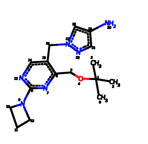 CC(C)(C)OCc1nc(N2CCC2)ncc1Cn1cc(N)cn1